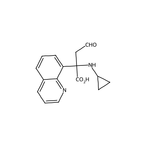 O=CCC(NC1CC1)(C(=O)O)c1cccc2cccnc12